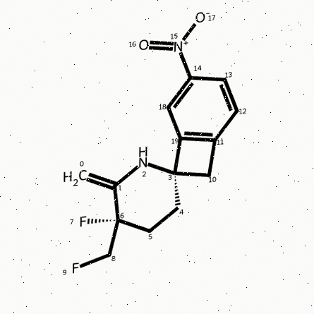 C=C1N[C@]2(CC[C@@]1(F)CF)Cc1ccc([N+](=O)[O-])cc12